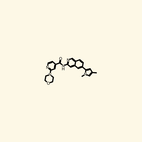 Cc1cc(-c2ccc3cnc(NC(=O)c4ccnc(N5CCOCC5)c4)cc3c2)n(C)c1